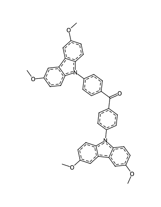 COc1ccc2c(c1)c1cc(OC)ccc1n2-c1ccc(C(=O)c2ccc(-n3c4ccc(OC)cc4c4cc(OC)ccc43)cc2)cc1